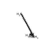 CCCCCCCCCCCCCCCCCCCCCCCCCCCCCCN(CC(C)O)CC(C)O